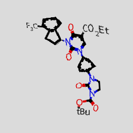 CCOC(=O)c1cn(-c2ccc(N3CCN(C(=O)OC(C)(C)C)C3=O)cc2)c(=O)n([C@@H]2CCc3c2cccc3C(F)(F)F)c1=O